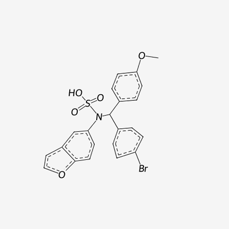 COc1ccc(C(c2ccc(Br)cc2)N(c2ccc3occc3c2)S(=O)(=O)O)cc1